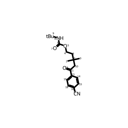 CC(C)(CCOC(=O)NC(C)(C)C)CC(=O)c1ccc(C#N)cc1